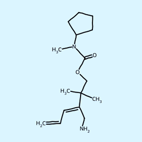 C=C/C=C(\CN)C(C)(C)COC(=O)N(C)C1CCCC1